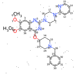 COc1cc2nc(N3CCN(c4ccccn4)CC3)nc(OC3CCN(Cc4ccccc4)CC3)c2cc1OC